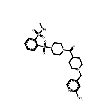 CNS(=O)(=O)c1ccccc1S(=O)(=O)N1CCN(C(=O)C2CCN(Cc3ccnc(N)c3)CC2)CC1